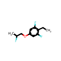 CCc1c(F)cc(OCC(C)F)cc1F